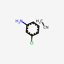 CC#N.Nc1cccc(Cl)c1